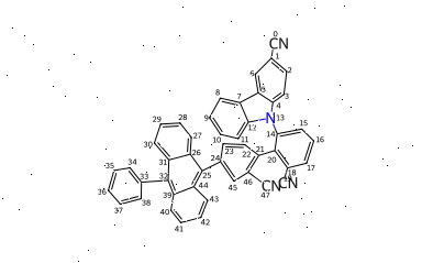 N#Cc1ccc2c(c1)c1ccccc1n2-c1cccc(C#N)c1-c1ccc(-c2c3ccccc3c(-c3ccccc3)c3ccccc23)cc1C#N